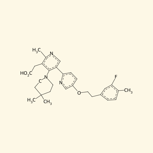 Cc1ccc(CCOc2ccc(-c3cnc(C)c(CC(=O)O)c3N3CCC(C)(C)CC3)nc2)cc1F